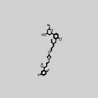 C=C/C(=C\C=C\OC1CN(CCCC(OC)c2cc(F)ccc2F)C1)Cc1cc(C2CC(O)CC(SC)O2)ccc1Cl